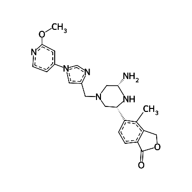 COc1cc(-n2cnc(CN3C[C@@H](c4ccc5c(c4C)COC5=O)N[C@@H](N)C3)c2)ccn1